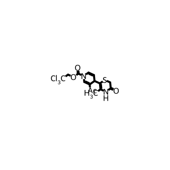 CC(=O)C1=CN(C(=O)OCC(Cl)(Cl)Cl)C=CC1C1=C(C)NC(=O)CS1